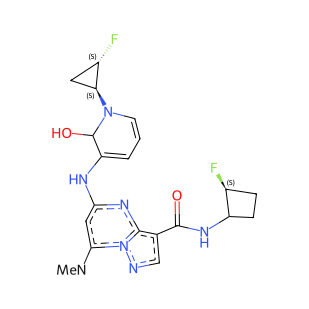 CNc1cc(NC2=CC=CN([C@H]3C[C@@H]3F)C2O)nc2c(C(=O)NC3CC[C@@H]3F)cnn12